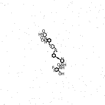 CN(Cc1cccc(C#Cc2cc(NC(=O)Nc3cc(F)ncc3CO)ccn2)c1)CC1CCN(Cc2cccc3c2n(C)c(=O)n3C2CCC(=O)NC2=O)CC1